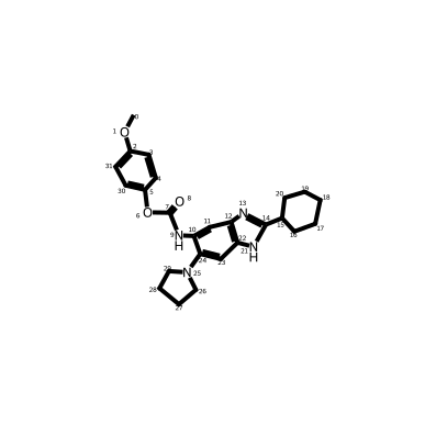 COc1ccc(OC(=O)Nc2cc3nc(C4CCCCC4)[nH]c3cc2N2CCCC2)cc1